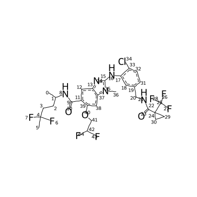 CC(CCC(C)(F)F)NC(=O)c1cc2nc(Nc3cc(CNC(=O)C4(C(F)(F)F)CC4)ccc3Cl)n(C)c2cc1OCC(F)F